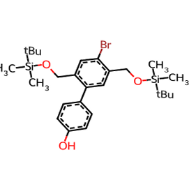 CC(C)(C)[Si](C)(C)OCc1cc(-c2ccc(O)cc2)c(CO[Si](C)(C)C(C)(C)C)cc1Br